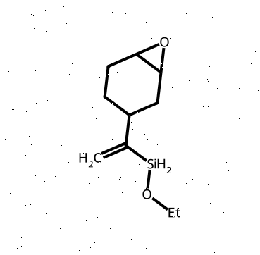 C=C([SiH2]OCC)C1CCC2OC2C1